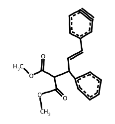 COC(=O)C(C(=O)OC)C(/C=C/c1cc#ccc1)c1ccccc1